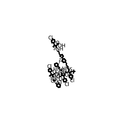 CC(C)(C)c1sc(NCCCc2cccc(F)c2)c(C(=O)O)c1-c1ccc(Cl)cc1.O=C(NCc1ccccc1)Nc1scc(-c2ccc(Cl)cc2)c1C(=O)O.O=C(Nc1scc(-c2ccc(Cl)cc2)c1C(=O)O)OCc1ccccc1Cl.O=C(O)c1c(-c2ccc(Cl)cc2)csc1NCCCc1cccs1